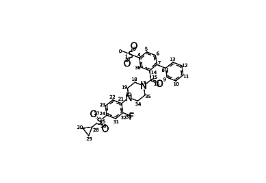 CS(=O)(=O)c1ccc(-c2ccccc2)c(C(=O)N2CCN(c3ccc(S(=O)(=O)C4CC4)cc3F)CC2)c1